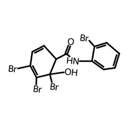 O=C(Nc1ccccc1Br)C1C=CC(Br)=C(Br)C1(O)Br